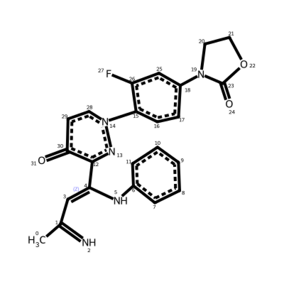 CC(=N)/C=C(\Nc1ccccc1)c1nn(-c2ccc(N3CCOC3=O)cc2F)ccc1=O